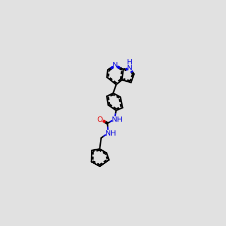 O=C(NCc1ccccc1)Nc1ccc(-c2ccnc3[nH]ccc23)cc1